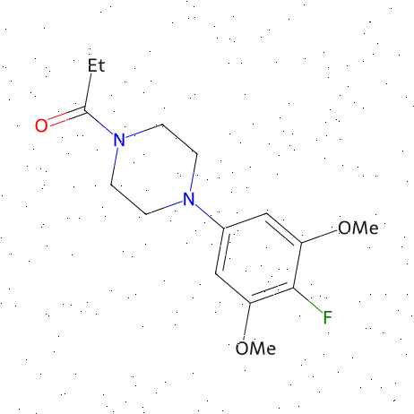 CCC(=O)N1CCN(c2cc(OC)c(F)c(OC)c2)CC1